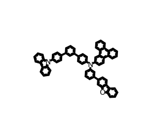 c1cc(-c2ccc(N(c3cccc(-c4ccc5c(c4)oc4ccccc45)c3)c3ccc4c5ccccc5c5ccccc5c4c3)cc2)cc(-c2ccc(-n3c4ccccc4c4ccccc43)cc2)c1